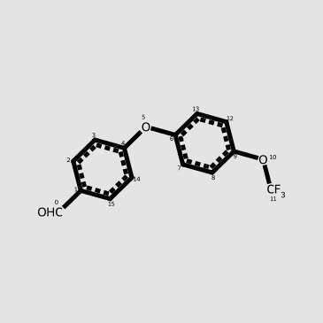 O=Cc1ccc(Oc2ccc(OC(F)(F)F)cc2)cc1